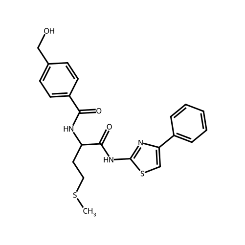 CSCCC(NC(=O)c1ccc(CO)cc1)C(=O)Nc1nc(-c2ccccc2)cs1